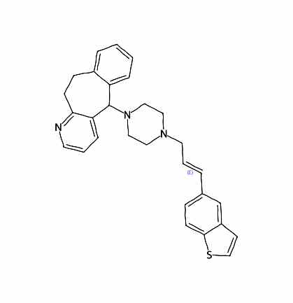 C(=C\c1ccc2sccc2c1)/CN1CCN(C2c3ccccc3CCc3ncccc32)CC1